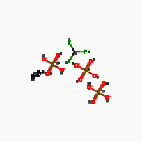 FC(F)F.O=S(=O)([O-])[O-].O=S(=O)([O-])[O-].O=S(=O)([O-])[O-].[Pr+3].[Pr+3]